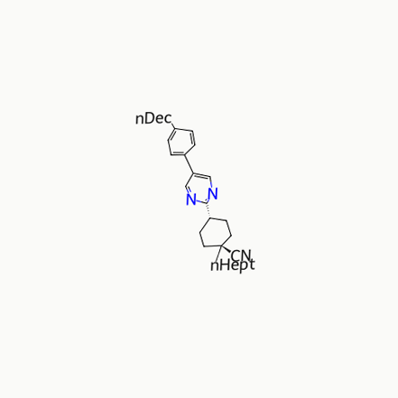 CCCCCCCCCCc1ccc(-c2cnc([C@H]3CC[C@@](C#N)(CCCCCCC)CC3)nc2)cc1